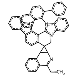 C=CC1=NC2C(c3ccccc31)C21C[n+]2c(n(-c3c(-c4ccccc4)ccc4ccccc34)c3ccccc32)-c2c1ccc1c2oc2ccccc21